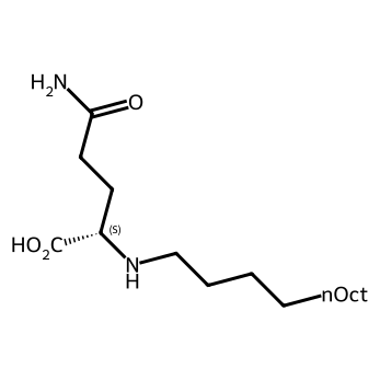 CCCCCCCCCCCCN[C@@H](CCC(N)=O)C(=O)O